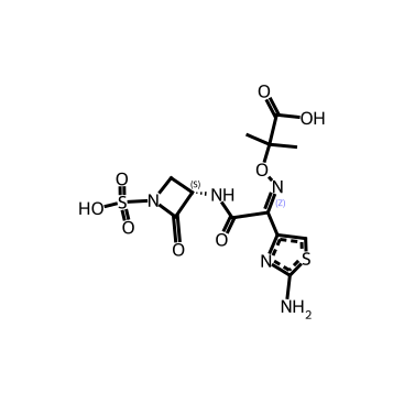 CC(C)(O/N=C(\C(=O)N[C@H]1CN(S(=O)(=O)O)C1=O)c1csc(N)n1)C(=O)O